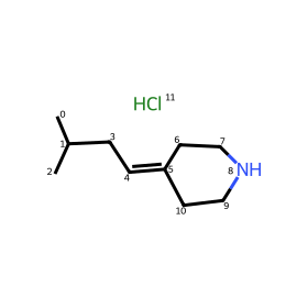 CC(C)CC=C1CCNCC1.Cl